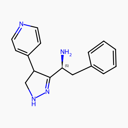 N[C@@H](Cc1ccccc1)C1=NNCC1c1ccncc1